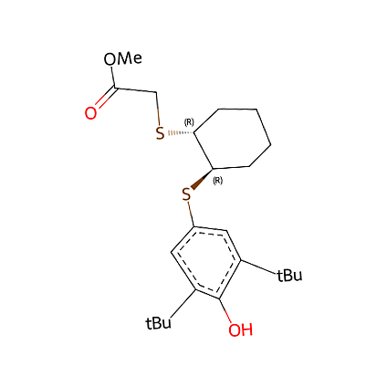 COC(=O)CS[C@@H]1CCCC[C@H]1Sc1cc(C(C)(C)C)c(O)c(C(C)(C)C)c1